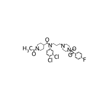 CC(=O)N1CCC(C(=O)N(CCCN2CCN(S(=O)(=O)c3ccc(F)cc3)CC2)c2ccc(Cl)c(Cl)c2)CC1